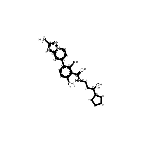 Cc1ccc(-c2ccn3nc(N)nc3c2)c(F)c1C(=O)NCCC(O)C1CCCC1